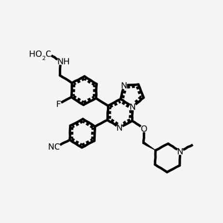 CN1CCC[C@@H](COc2nc(-c3ccc(C#N)cc3)c(-c3ccc(CNC(=O)O)c(F)c3)c3nccn23)C1